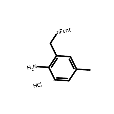 CCCCCCc1cc(C)c[c]c1N.Cl